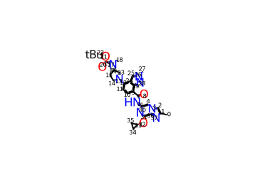 Cc1cn2cc(NC(=O)c3ccc(N4CC[C@@H](N(C)C(=O)OC(C)(C)C)C4)c4cn(C)nc34)nc(OC3CC3)c2n1